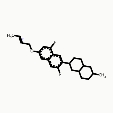 C/C=C/COc1cc(F)c2cc(C3CCC4CC(C)CCC4C3)c(F)cc2c1